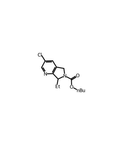 CCCCOC(=O)N1Cc2cc(Cl)cnc2C1CC